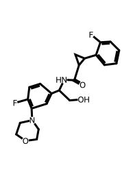 O=C(NC(CO)c1ccc(F)c(N2CCOCC2)c1)C1CC1c1ccccc1F